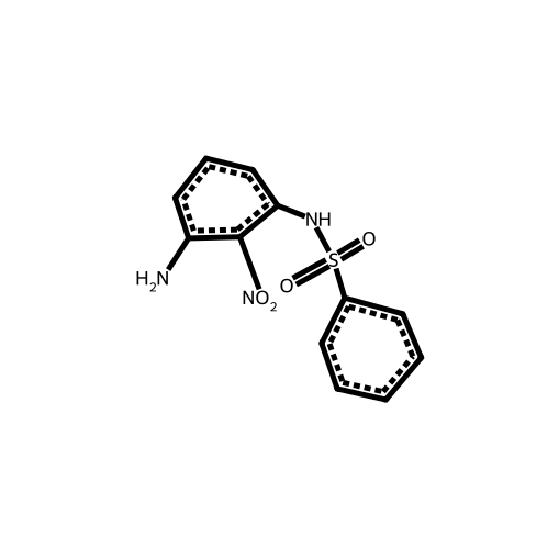 Nc1cccc(NS(=O)(=O)c2ccccc2)c1[N+](=O)[O-]